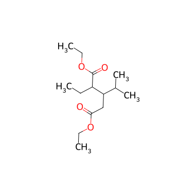 CCOC(=O)CC(C(C)C)C(CC)C(=O)OCC